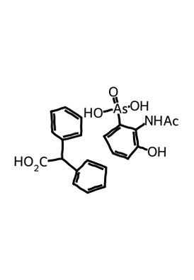 CC(=O)Nc1c(O)cccc1[As](=O)(O)O.O=C(O)C(c1ccccc1)c1ccccc1